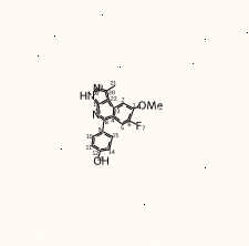 COc1cc2c(cc1F)c(-c1ccc(O)cc1)nc1[nH]nc(C)c12